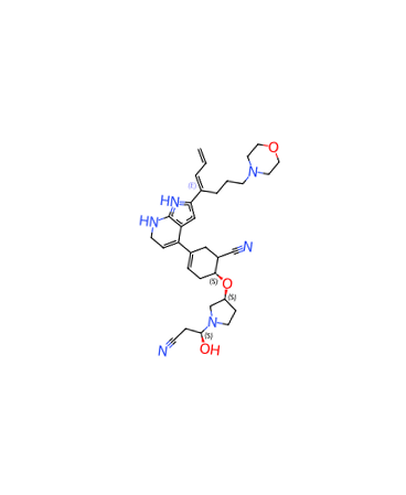 C=C/C=C(\CCCN1CCOCC1)c1cc2c([nH]1)NCC=C2C1=CC[C@H](O[C@H]2CCN([C@@H](O)CC#N)C2)C(C#N)C1